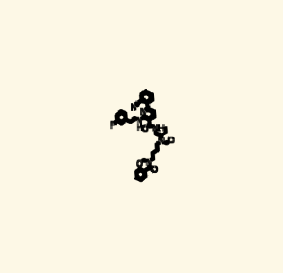 CC[C@H](CNC(=O)c1ccc(-c2ccccc2C#N)nc1NCCc1cccc(F)c1)N(C=O)CCCCN1COc2ccccc2C1=O